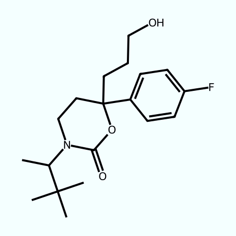 CC(N1CCC(CCCO)(c2ccc(F)cc2)OC1=O)C(C)(C)C